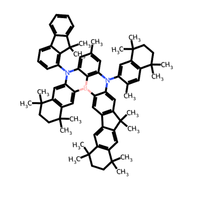 Cc1cc2c3c(c1)N(c1cccc4c1C(C)(C)c1ccccc1-4)c1cc4c(cc1B3c1cc3c(cc1N2c1cc2c(cc1C)C(C)(C)CCC2(C)C)C(C)(C)c1cc2c(cc1-3)C(C)(C)CCC2(C)C)C(C)(C)CCC4(C)C